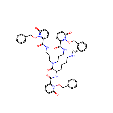 O=C(O)NCCCCC(NC(=O)c1cccc(=O)n1OCc1ccccc1)C(=O)N(CCCNC(=O)c1cccc(=O)n1OCc1ccccc1)CCCNC(=O)c1cccc(=O)n1OCc1ccccc1